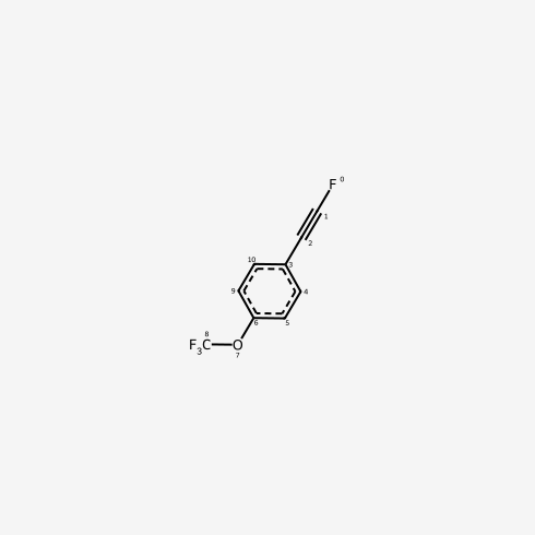 FC#Cc1ccc(OC(F)(F)F)cc1